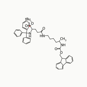 CC(CCCCNC(=O)CCC(NC(c1ccccc1)(c1ccccc1)c1ccccc1)C(=O)OC(C)(C)C)NC(=O)OCC1c2ccccc2-c2ccccc21